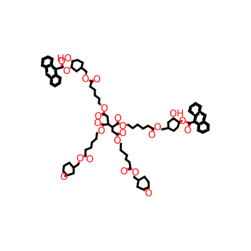 O=C(CCCCCOC(=O)C(CC(=O)OCCCCCC(=O)OCC1CCC2OC2C1)C(CC(=O)OCCCCCC(=O)OCC1CCC(O)C(OC(=O)c2c3ccccc3cc3ccccc23)C1)C(=O)OCCCCCC(=O)OCC1CCC2OC2C1)OCC1CCC(OC(=O)c2c3ccccc3cc3ccccc23)C(O)C1